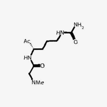 CNCC(=O)N[C@@H](CCCNC(N)=O)C(C)=O